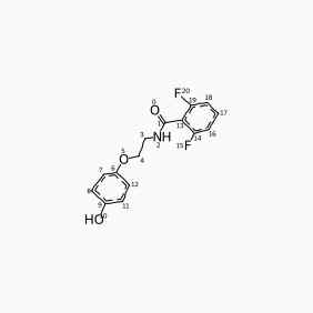 O=C(NCCOc1ccc(O)cc1)c1c(F)cccc1F